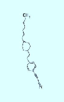 CCCCCCCC1CCC(CCc2ccc(C#CC#N)cc2)CC1